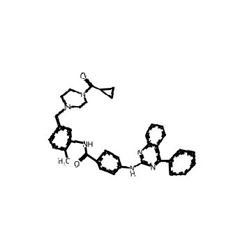 Cc1ccc(CN2CCN(C(=O)C3CC3)CC2)cc1NC(=O)c1ccc(Nc2nc(-c3ccccc3)c3ccccc3n2)cc1